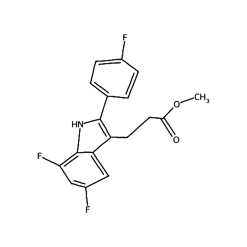 COC(=O)CCc1c(-c2ccc(F)cc2)[nH]c2c(F)cc(F)cc12